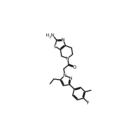 CCc1cc(-c2ccc(F)c(C)c2)nn1CC(=O)N1CCc2nc(N)sc2C1